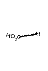 CC/C=C/CC/C=C/CCC/C=C/CCCCCCC(=O)O